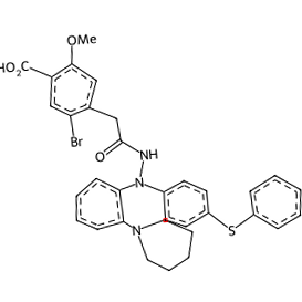 COc1cc(CC(=O)NN(c2ccc(Sc3ccccc3)cc2)c2ccccc2N2CCCCC2)c(Br)cc1C(=O)O